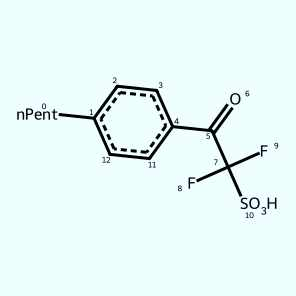 CCCCCc1ccc(C(=O)C(F)(F)S(=O)(=O)O)cc1